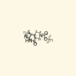 CC(C)(C)OC(=O)N1CCc2c(c(=O)[nH]c3ncsc23)C1